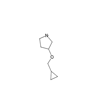 C1CC(OCC2CC2)C[N]1